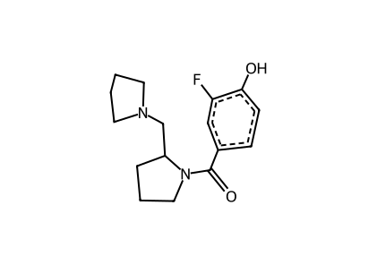 O=C(c1ccc(O)c(F)c1)N1CCCC1CN1CCCC1